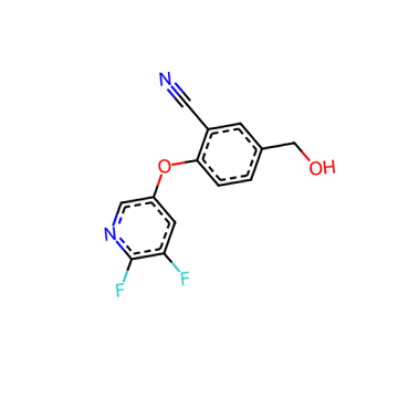 N#Cc1cc(CO)ccc1Oc1cnc(F)c(F)c1